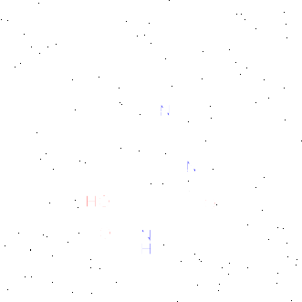 C[C@@]1(O)C(=O)NCc2c1cc1n(c2=O)Cc2cc3ccccc3nc2-1